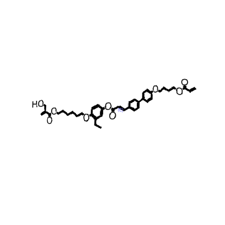 C=CC(=O)OCCCCOc1ccc(-c2ccc(/C=C/C(=O)Oc3ccc(OCCCCCCOC(=O)C(=C)CO)c(CC)c3)cc2)cc1